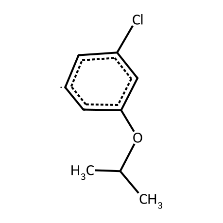 CC(C)Oc1c[c]cc(Cl)c1